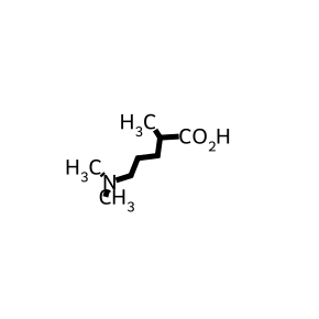 CC(CCCN(C)C)C(=O)O